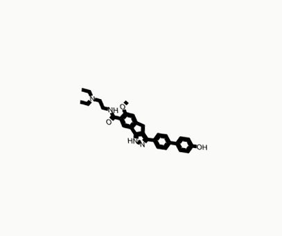 CCN(CC)CCNC(=O)c1cc2c(cc1OC)Cc1c(-c3ccc(-c4ccc(O)cc4)cc3)n[nH]c1-2